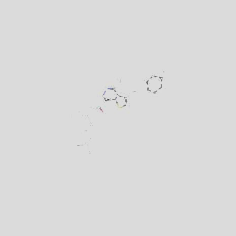 CCN(CC)CCCC(C)NC(=O)c1cnc(N)c2c(COc3ccc(Br)cc3)csc12